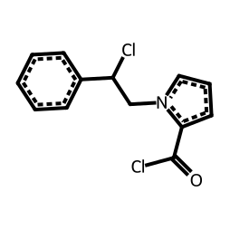 O=C(Cl)c1cccn1CC(Cl)c1ccccc1